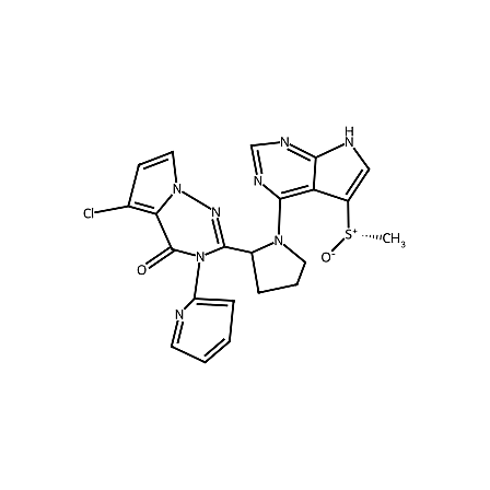 C[S@+]([O-])c1c[nH]c2ncnc(N3CCCC3c3nn4ccc(Cl)c4c(=O)n3-c3ccccn3)c12